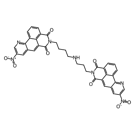 O=C1c2cccc3c2c(cc2cc([N+](=O)[O-])cnc23)C(=O)N1CCCCNCCCN1C(=O)c2cccc3c2c(cc2cc([N+](=O)[O-])cnc23)C1=O